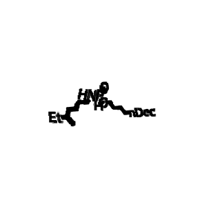 C=C(CC)CCCCN[PH](=O)OCCCCCCCCCCCCCC